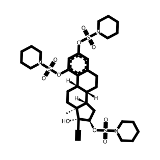 C#C[C@]1(O)[C@H](OS(=O)(=O)N2CCCCC2)C[C@H]2[C@H]3CCc4cc(OS(=O)(=O)N5CCCCC5)cc(OS(=O)(=O)N5CCCCC5)c4[C@H]3CC[C@@]21C